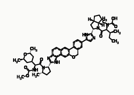 CC[C@H](C)[C@@H](C(=O)N1[C@H](c2ncc(-c3ccc4c(c3)COc3cc5c(ccc6nc([C@@H]7CC[C@H](C)N7C(=O)[C@@H](NC(=O)OC)C7C[C@@H](C)O[C@H](C)C7)[nH]c65)cc3-4)[nH]2)C[C@@H]2CCC[C@@H]21)N(C)C(=O)O